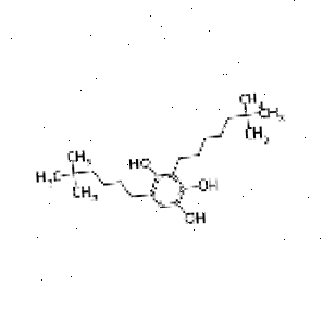 CC(C)(C)CCCCCc1c(O)c(O)cc(CCCCC(C)(C)C)c1O